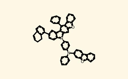 C1=Cc2cccc(-c3ccc4c(c3)c3c(-c5ccccc5)c5c(cc3n4-c3ccc(N(c4ccccc4)c4ccc6c(c4)oc4ccccc46)cc3)oc3ccccc35)c2CC1